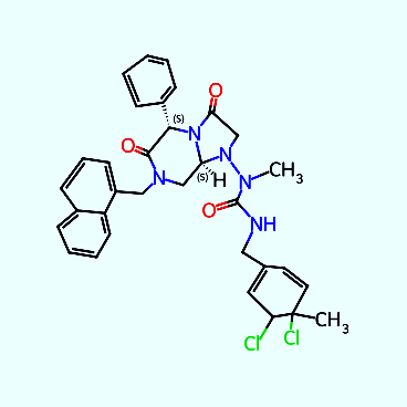 CN(C(=O)NCC1=CC(Cl)C(C)(Cl)C=C1)N1CC(=O)N2[C@@H](c3ccccc3)C(=O)N(Cc3cccc4ccccc34)C[C@@H]21